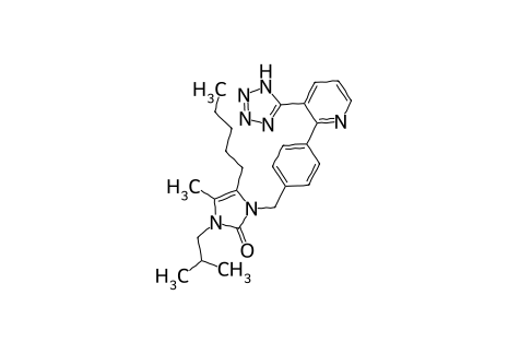 CCCCCc1c(C)n(CC(C)C)c(=O)n1Cc1ccc(-c2ncccc2-c2nnn[nH]2)cc1